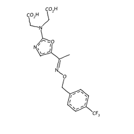 C/C(=N\OCc1ccc(C(F)(F)F)cc1)c1cnc(N(CC(=O)O)CC(=O)O)o1